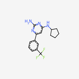 Nc1nc(NC2CCCC2)cc(-c2cccc(C(F)(F)F)c2)n1